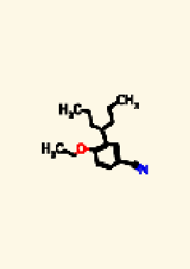 CCCC(CCC)c1cc(C#N)ccc1OCC